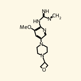 C=NC(=N)Nc1ncc(N2CCN(C3COC3)CC2)cc1OC